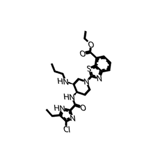 CCCN[C@H]1CN(c2nc3cccc(C(=O)OCC)c3s2)CC[C@H]1NC(=O)c1nc(Cl)c(CC)[nH]1